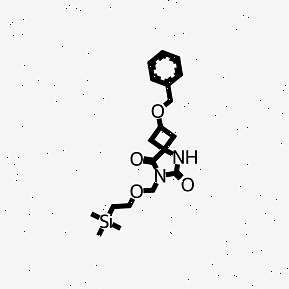 C[Si](C)(C)CCOCN1C(=O)NC2(CC(OCc3ccccc3)C2)C1=O